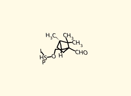 CC1(C)C2(C=O)CC[C@]1(C)[C@H]2CO[SH](#P)I